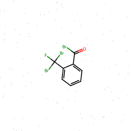 O=C(Br)c1ccccc1C(F)(Br)Br